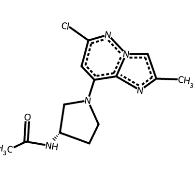 CC(=O)N[C@H]1CCN(c2cc(Cl)nn3cc(C)nc23)C1